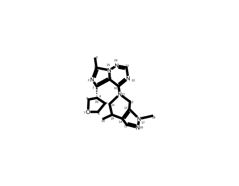 Cc1nc([C@@H]2CCOC2)c2c(N3Cc4c(cnn4C)C(C)C3)ncnn12